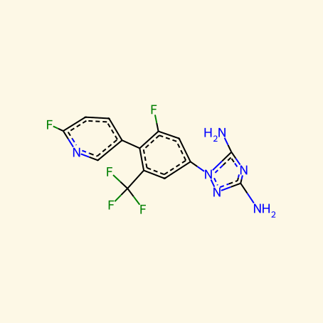 Nc1nc(N)n(-c2cc(F)c(-c3ccc(F)nc3)c(C(F)(F)F)c2)n1